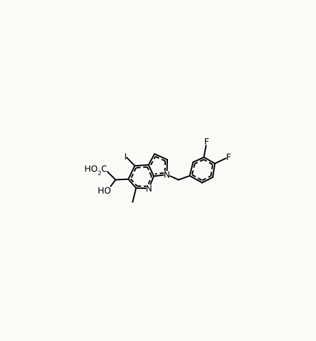 Cc1nc2c(ccn2Cc2ccc(F)c(F)c2)c(I)c1C(O)C(=O)O